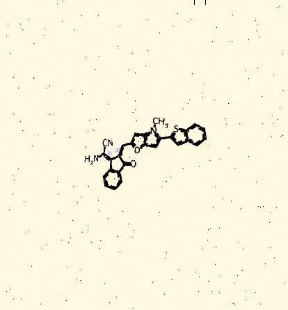 Cn1c(-c2cc3ccccc3s2)cc2oc(/C=C3\C(=O)c4ccccc4\C3=C(/N)C#N)cc21